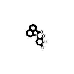 O=C1CCC(N2C(=O)c3cccc4c3C2CCC4)C(=O)N1